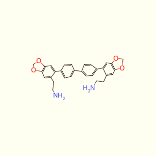 NCCc1cc2c(cc1-c1ccc(-c3ccc(-c4cc5c(cc4CCN)OCO5)cc3)cc1)OCO2